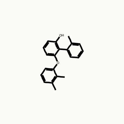 Cc1ccccc1-c1c(O)cccc1Oc1cccc(C)c1C